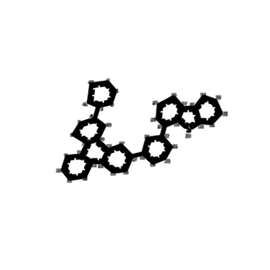 c1ccc(-c2ccc3c4ccccc4c4ccc(-c5cccc(-c6cccc7c6sc6ccccc67)c5)cc4c3c2)cc1